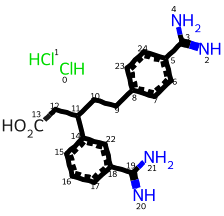 Cl.Cl.N=C(N)c1ccc(CCC(CC(=O)O)c2cccc(C(=N)N)c2)cc1